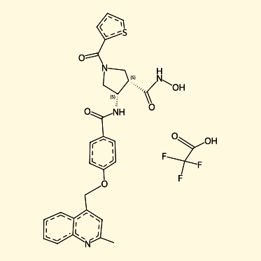 Cc1cc(COc2ccc(C(=O)N[C@@H]3CN(C(=O)c4cccs4)C[C@@H]3C(=O)NO)cc2)c2ccccc2n1.O=C(O)C(F)(F)F